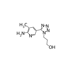 Cc1cc(-c2nnnn2CCCO)cnc1N